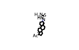 CC(=O)C1CCC2C3CCC4=C/C(=N/NC(N)=S)CC[C@]4(C)C3CC[C@]12C